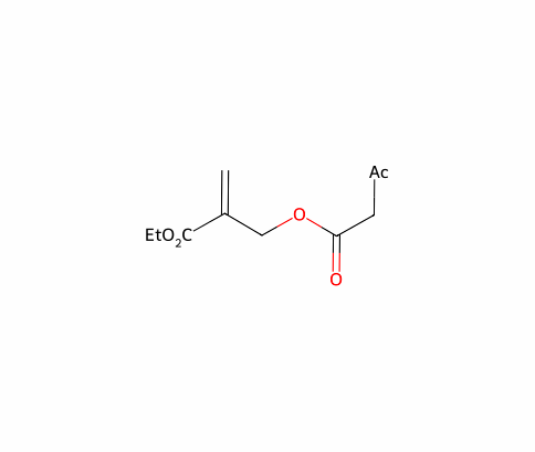 C=C(COC(=O)CC(C)=O)C(=O)OCC